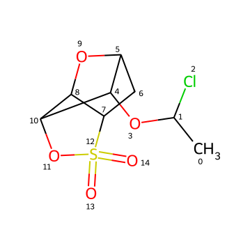 CC(Cl)OC1C2CC3C(O2)C1OS3(=O)=O